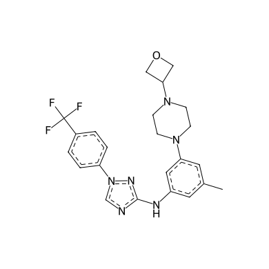 Cc1cc(Nc2ncn(-c3ccc(C(F)(F)F)cc3)n2)cc(N2CCN(C3COC3)CC2)c1